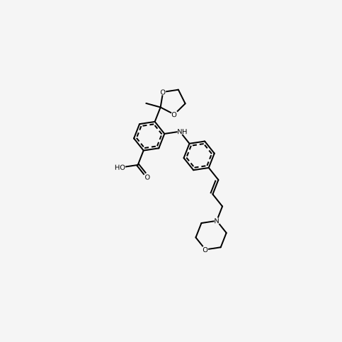 CC1(c2ccc(C(=O)O)cc2Nc2ccc(C=CCN3CCOCC3)cc2)OCCO1